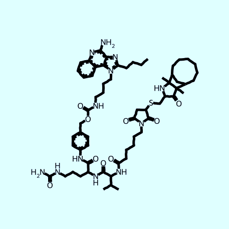 CCCCc1nc2c(N)nc3ccccc3c2n1CCCCNC(=O)OCc1ccc(NC(=O)C(CCCNC(N)=O)NC(=O)C(NC(=O)CCCCCN2C(=O)CC(SCC3NC4(C)C5CCCCCCC(C5)C4(C)C3=O)C2=O)C(C)C)cc1